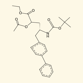 CCOC(=O)C(C[C@@H](Cc1ccc(-c2ccccc2)cc1)NC(=O)OC(C)(C)C)OC(C)=O